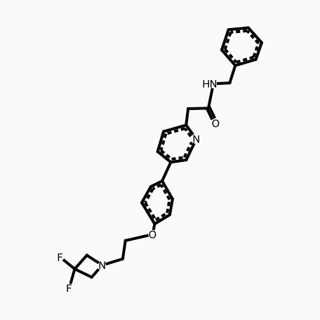 O=C(Cc1ccc(-c2ccc(OCCN3CC(F)(F)C3)cc2)cn1)NCc1ccccc1